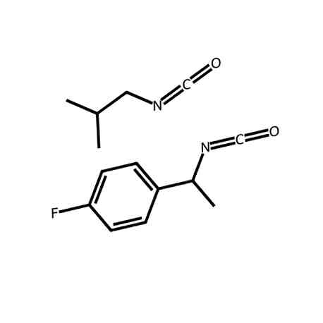 CC(C)CN=C=O.CC(N=C=O)c1ccc(F)cc1